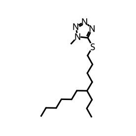 CCCCCCC(CCC)CCCCSc1nnnn1C